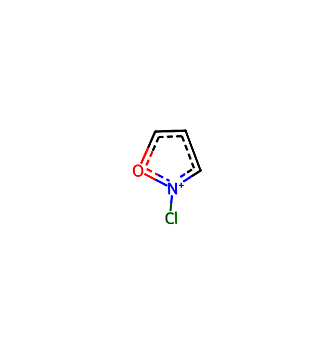 Cl[n+]1ccco1